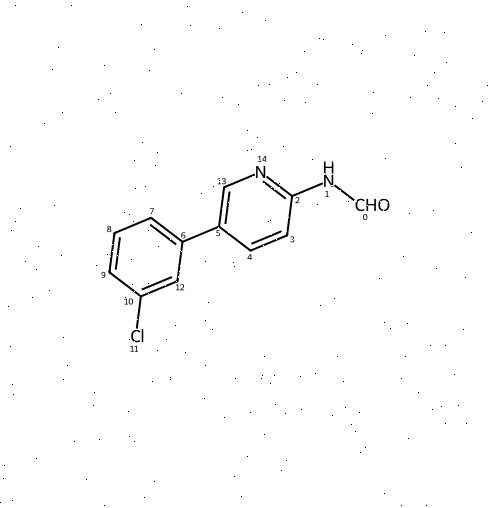 O=CNc1ccc(-c2cccc(Cl)c2)cn1